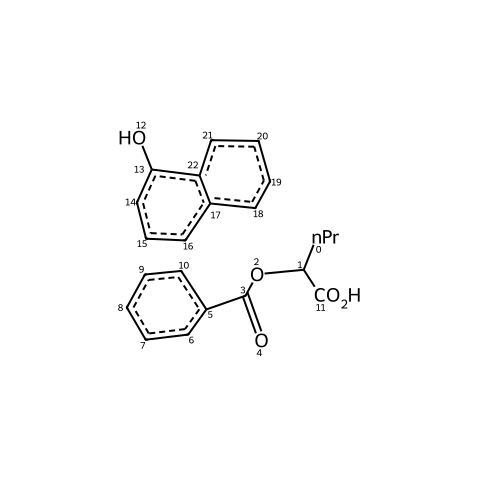 CCCC(OC(=O)c1ccccc1)C(=O)O.Oc1cccc2ccccc12